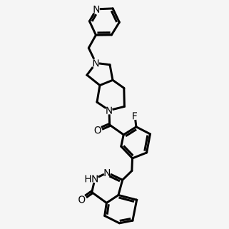 O=C(c1cc(Cc2n[nH]c(=O)c3ccccc23)ccc1F)N1CCC2CN(Cc3cccnc3)CC2C1